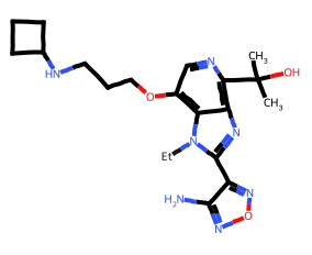 CCn1c(-c2nonc2N)nc2c(C(C)(C)O)ncc(OCCCNC3CCC3)c21